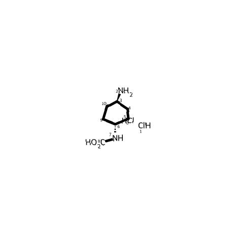 Cl.Cl.N[C@H]1CC[C@H](NC(=O)O)CC1